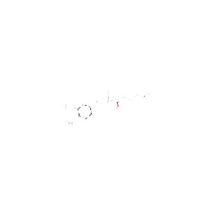 O=CCCCC(=O)NCCc1ccc(O)c(O)c1